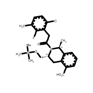 Cc1ccc(Cl)c(CC(=O)N2[C@@H](CO[Si](C)(C)C(C)(C)C)Cc3c(C(=O)O)cccc3[C@@H]2C)c1F